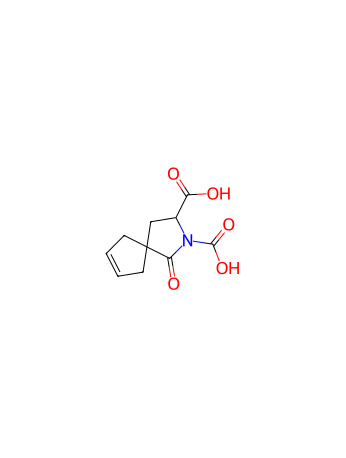 O=C(O)C1CC2(CC=CC2)C(=O)N1C(=O)O